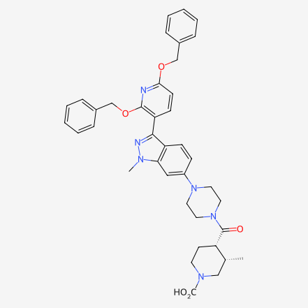 C[C@@H]1CN(C(=O)O)CC[C@@H]1C(=O)N1CCN(c2ccc3c(-c4ccc(OCc5ccccc5)nc4OCc4ccccc4)nn(C)c3c2)CC1